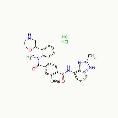 COc1cc(C(=O)N(C)c2ccccc2C2CNCCO2)ccc1C(=O)Nc1cccc2[nH]c(C)nc12.Cl.Cl